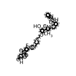 Cc1c(OCCCN2CCC(CN3CCN(c4cc5c(cc4F)C(=O)N(C4CCC(=O)NC4=O)C5=O)CC3)CC2)cccc1-c1ccc(N2CCc3cccc(C(=O)Nc4nc5ccccc5s4)c3C2)nc1C(=O)O